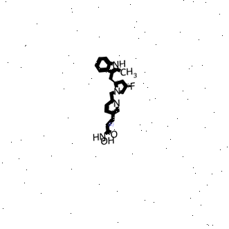 Cc1[nH]c2ccccc2c1C[C@H]1C[C@@H](F)CN1Cc1ccc(/C=C/C(=O)NO)cn1